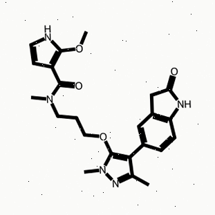 COc1[nH]ccc1C(=O)N(C)CCCOc1c(-c2ccc3c(c2)CC(=O)N3)c(C)nn1C